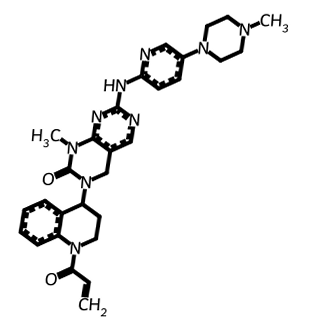 C=CC(=O)N1CCC(N2Cc3cnc(Nc4ccc(N5CCN(C)CC5)cn4)nc3N(C)C2=O)c2ccccc21